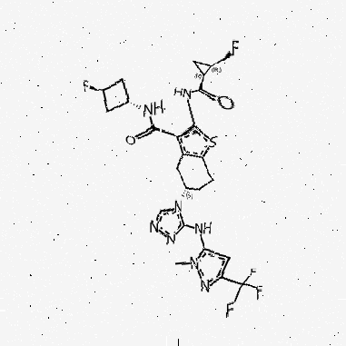 Cn1nc(C(F)(F)F)cc1Nc1nncn1[C@H]1CCc2sc(NC(=O)[C@H]3C[C@H]3F)c(C(=O)N[C@H]3C[C@H](F)C3)c2C1